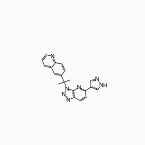 CC(C)(c1ccc2ncccc2c1)n1nnc2ccc(-c3cn[nH]c3)nc21